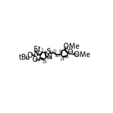 CCN(C(=O)OC(C)(C)C)c1cc2sc(/C=C/c3ccc(OCOC)c(OC)c3)nc2cc1C